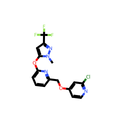 Cn1nc(C(F)(F)F)cc1Oc1cccc(COc2ccnc(Cl)c2)n1